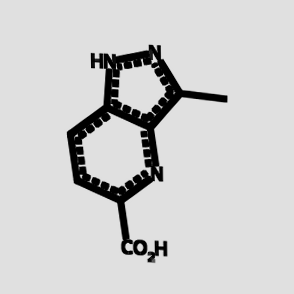 Cc1n[nH]c2ccc(C(=O)O)nc12